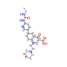 CCNC(=O)Nc1ccc(-c2ccc3c(c2)c(=O)c(C(=O)O)cn3CCN2CCOCC2)cn1